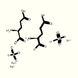 N[C@@H](CCC(=O)O)C(=O)[O-].N[C@@H](CCC(=O)O)C(=O)[O-].O=S(=O)([O-])[O-].O=S(=O)([O-])[O-].[Fe+2].[Fe+2].[Fe+2]